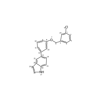 Clc1cccc(COc2cccc(-c3ccc4[nH]cnc4c3)c2)c1